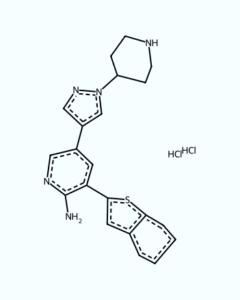 Cl.Cl.Nc1ncc(-c2cnn(C3CCNCC3)c2)cc1-c1cc2ccccc2s1